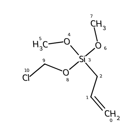 C=CC[Si](OC)(OC)OCCl